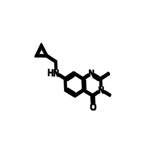 Cc1nc2cc(NCC3CC3)ccc2c(=O)n1C